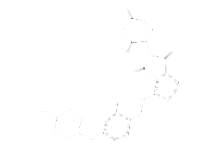 CC(C)(C)C1CCN(Cc2ccc(CNc3cccc4c3C(=O)N(C3CCC(=O)NC3=O)C4=O)c(F)c2)CC1